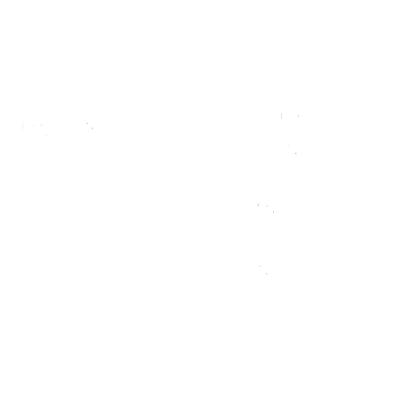 CCCCNC(=O)n1c(CCOCCNC(=O)O)nc2ccccc21